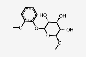 COc1ccccc1O[C@@H]1O[C@H](OC)[C@@H](O)[C@H](O)[C@H]1O